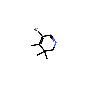 CC1=C(C#N)C=NCC1(C)C